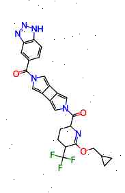 O=C(c1ccc2[nH]nnc2c1)n1cc2c(c1)-c1cn(C(=O)C3CCC(C(F)(F)F)C(OCC4CC4)=N3)cc1-2